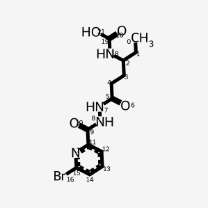 CCC(CCC(=O)NNC(=O)c1cccc(Br)n1)NC(=O)O